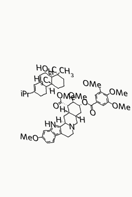 CC(C)C1=CC2=CC[C@@H]3[C@](C)(CCC[C@@]3(C)C(=O)O)[C@H]2CC1.COC(=O)[C@H]1[C@H]2C[C@@H]3c4[nH]c5cc(OC)ccc5c4CCN3C[C@H]2C[C@@H](OC(=O)c2cc(OC)c(OC)c(OC)c2)[C@@H]1OC